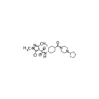 Cc1nn(C)c(Cl)c1S(=O)(=O)N[C@H]1CC[C@H](C(=O)N2CCN(C3CCCC3)CC2)CC1